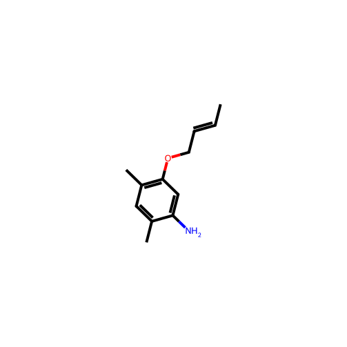 C/C=C/COc1cc(N)c(C)cc1C